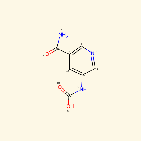 NC(=O)c1cncc(NC(=O)O)c1